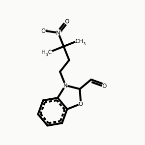 CC(C)(CCN1c2ccccc2OC1C=O)[N+](=O)[O-]